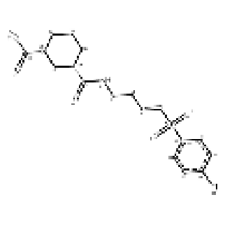 O=C(NCC/C=C/S(=O)(=O)c1ccc(Cl)cc1)[C@H]1CCCN(C(=O)O)C1